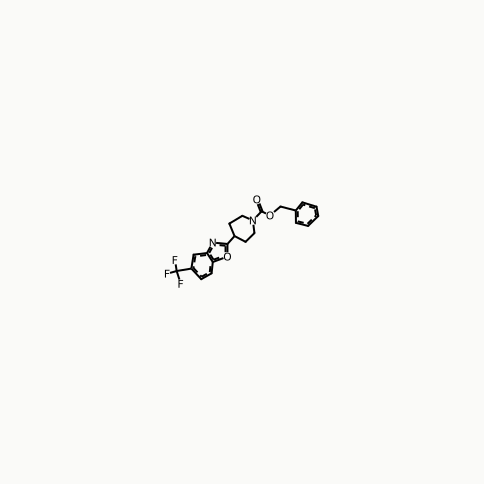 O=C(OCc1ccccc1)N1CCC(c2nc3cc(C(F)(F)F)ccc3o2)CC1